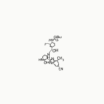 Cc1cc(C#N)cc2[nH]c(-c3c(NCC(O)c4ccc(NC(=O)OCC(C)C)c(CI)c4)cc[nH]c3=O)nc12